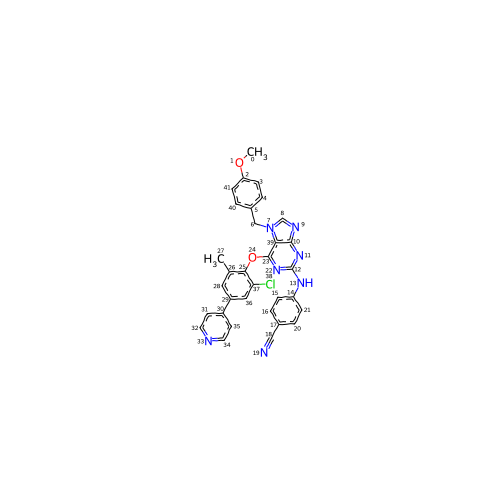 COc1ccc(Cn2cnc3nc(Nc4ccc(C#N)cc4)nc(Oc4c(C)cc(-c5ccncc5)cc4Cl)c32)cc1